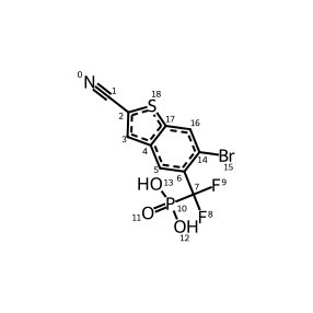 N#Cc1cc2cc(C(F)(F)P(=O)(O)O)c(Br)cc2s1